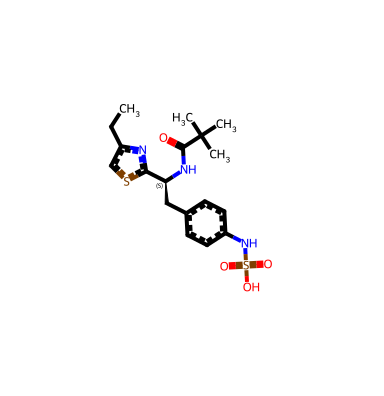 CCc1csc([C@H](Cc2ccc(NS(=O)(=O)O)cc2)NC(=O)C(C)(C)C)n1